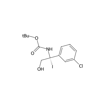 CC(C)(C)OC(=O)N[C@](I)(CO)c1cccc(Cl)c1